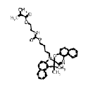 C=C(C)C(=O)OCCNC(=O)OCCCCN1c2ccc3ccccc3c2C(C)(C)C12C=Nc1c(ccc3ccccc13)O2